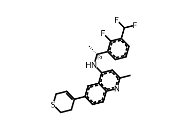 Cc1cc(N[C@H](C)c2cccc(C(F)F)c2F)c2cc(C3=CCSCC3)ccc2n1